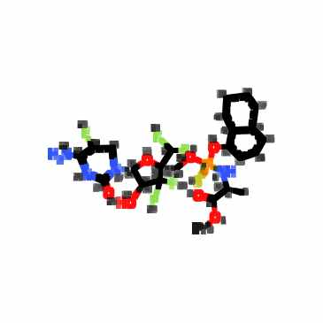 CC(C)OC(=O)[C@H](C)NP(=S)(OC[C@@]1(C(F)F)O[C@@H](n2cc(F)c(N)nc2=O)[C@H](O)C1(F)F)Oc1cccc2ccccc12